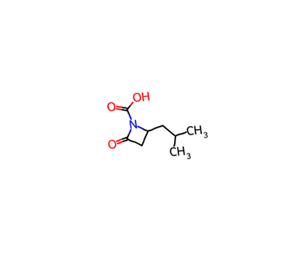 CC(C)CC1CC(=O)N1C(=O)O